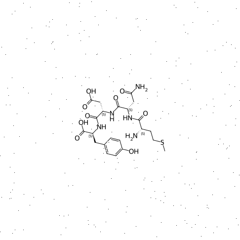 CSCC[C@H](N)C(=O)N[C@@H](CC(N)=O)C(=O)N[C@@H](CC(=O)O)C(=O)N[C@@H](Cc1ccc(O)cc1)C(=O)O